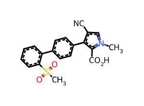 Cn1cc(C#N)c(-c2ccc(-c3ccccc3S(C)(=O)=O)cc2)c1C(=O)O